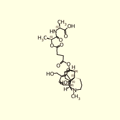 C[C@H](NC(=O)[C@H](C)OC(=O)CCC(=O)OC1=CC[C@@]2(O)[C@H]3Cc4ccc(CO)c5c4[C@@]2(CCCN3C)[C@H]1O5)C(=O)O